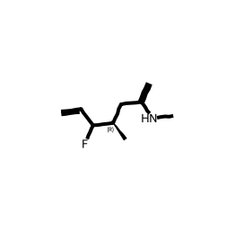 C=CC(F)[C@H](C)CC(=C)NC